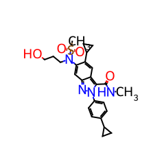 CNC(=O)c1c2cc(C3CC3)c(N(CCCO)S(C)(=O)=O)cc2nn1-c1ccc(C2CC2)cc1